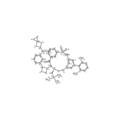 Cc1cccc(C)c1-c1cc2nc(n1)NS(=O)(=O)c1cccc(c1)C(=O)N(C1CCC1c1cccc(N(C)C3CC4(CC4)C3)n1)[C@H](CC(C)(C)C)CO2